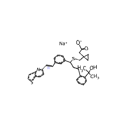 CC(C)(O)c1ccccc1CCC(SCC1(CC(=O)[O-])CC1)c1cccc(/C=C/c2ccc3sccc3n2)c1.[Na+]